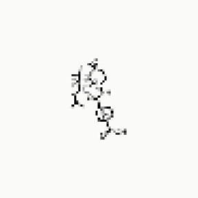 CC(C)=CC[C@H]1OC1(C)[C@H]1[C@H](O)[C@H](NC(=O)C23CCC(C(=O)O)(CC2)CC3)CC[C@]12CO2